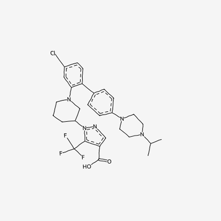 CC(C)N1CCN(c2ccc(-c3ccc(Cl)cc3N3CCCC(n4ncc(C(=O)O)c4C(F)(F)F)C3)cc2)CC1